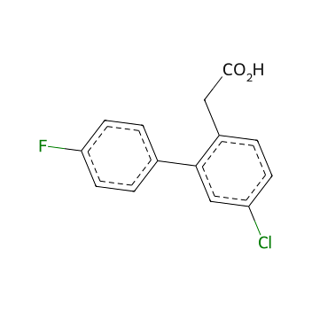 O=C(O)Cc1ccc(Cl)cc1-c1ccc(F)cc1